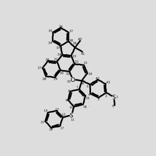 CSc1ccc(C2(c3ccc(Sc4ccccc4)cc3)C=Cc3c4c(c5ccccc5c3O2)-c2ccccc2C4(C)C)cc1